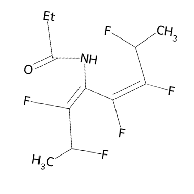 CCC(=O)NC(/C(F)=C(/F)C(C)F)=C(\F)C(C)F